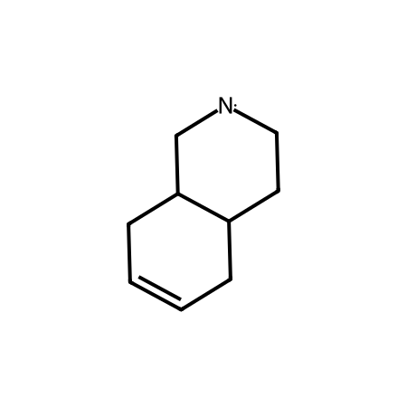 C1=CCC2C[N]CCC2C1